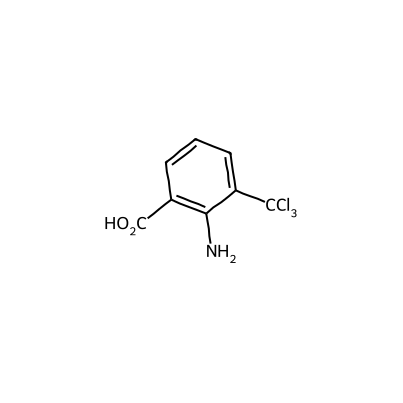 Nc1c(C(=O)O)cccc1C(Cl)(Cl)Cl